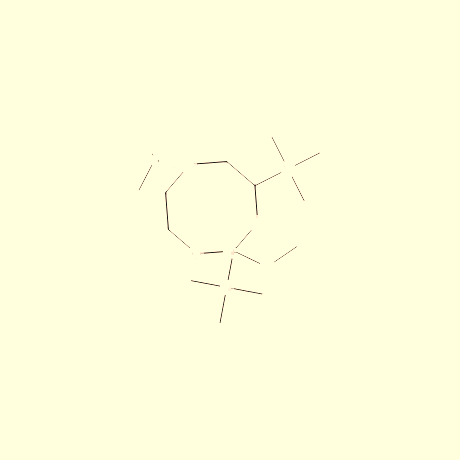 CN.CO[Si]1([Si](C)(C)C)OCCOCC([Si](C)(C)C)O1